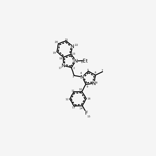 CCn1c(Cn2cc(C)nc2-c2cccc(F)c2)nc2cccnc21